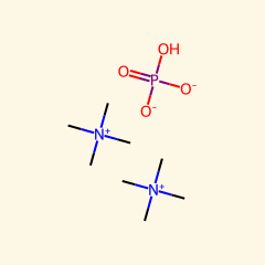 C[N+](C)(C)C.C[N+](C)(C)C.O=P([O-])([O-])O